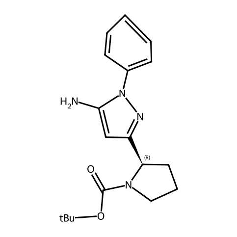 CC(C)(C)OC(=O)N1CCC[C@@H]1c1cc(N)n(-c2ccccc2)n1